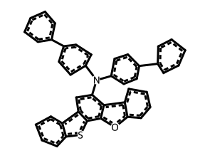 c1ccc(-c2ccc(N(c3ccc(-c4ccccc4)cc3)c3cc4c5ccccc5sc4c4oc5ccccc5c34)cc2)cc1